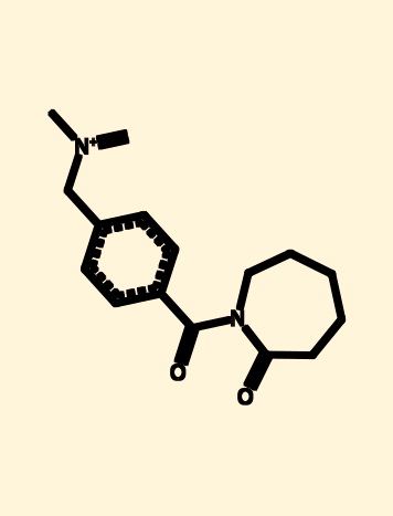 C=[N+](C)Cc1ccc(C(=O)N2CCCCCC2=O)cc1